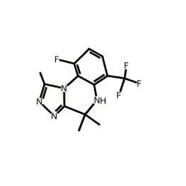 Cc1nnc2n1-c1c(F)ccc(C(F)(F)F)c1NC2(C)C